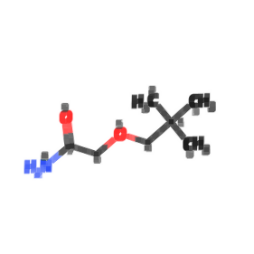 CC(C)(C)COCC(N)=O